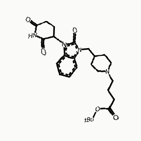 CC(C)(C)OC(=O)CCCN1CCC(Cn2c(=O)n(C3CCC(=O)NC3=O)c3ccccc32)CC1